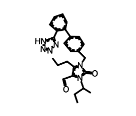 CCCc1c(C=O)n(C(C)CC)c(=O)n1Cc1ccc(-c2ccccc2-c2nnn[nH]2)cc1